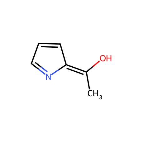 CC(O)=C1C=CC=N1